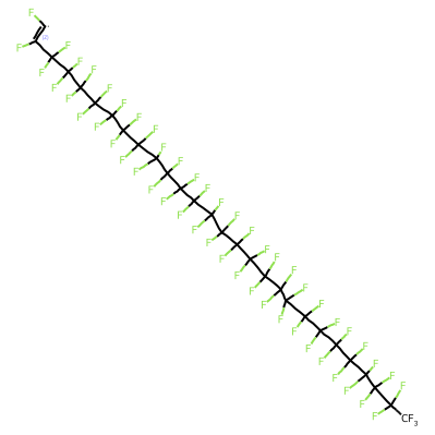 F/[C]=C(\F)C(F)(F)C(F)(F)C(F)(F)C(F)(F)C(F)(F)C(F)(F)C(F)(F)C(F)(F)C(F)(F)C(F)(F)C(F)(F)C(F)(F)C(F)(F)C(F)(F)C(F)(F)C(F)(F)C(F)(F)C(F)(F)C(F)(F)C(F)(F)C(F)(F)C(F)(F)C(F)(F)C(F)(F)C(F)(F)C(F)(F)F